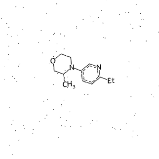 CCc1ccc(N2CCOCC2C)cn1